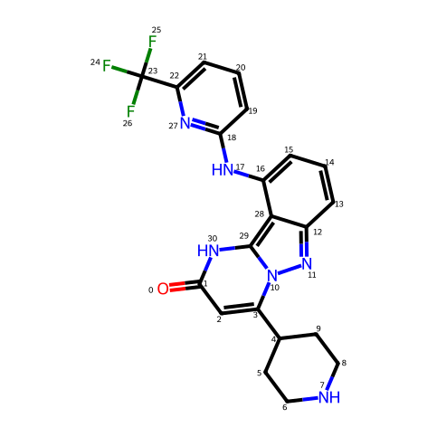 O=c1cc(C2CCNCC2)n2nc3cccc(Nc4cccc(C(F)(F)F)n4)c3c2[nH]1